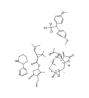 C=C1C(=O)O[C@H]2C[C@@]3(C)O[C@@H]3CC/C(C)=C/[C@@H](OC(C)=O)[C@H]12.C=CCC1=C(C)C(OC(=O)C2C(C=C(C)C)C2(C)C)CC1=O.COc1ccc(C(c2ccc(OC)cc2)C(Cl)(Cl)Cl)cc1.c1cncc(C2CCCCN2)c1